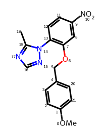 COc1ccc(COc2cc([N+](=O)[O-])ccc2-n2ncnc2C)cc1